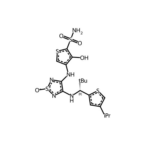 CC(C)c1csc([C@H](Nc2n[s+]([O-])nc2Nc2csc(S(N)(=O)=O)c2O)C(C)(C)C)c1